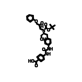 CC(C)(C)OC(=O)N(C[C@H](O)COc1ccccc1)[C@H](CO)Cc1ccc(NC(=O)Nc2ccc(C(=O)O)cc2)cc1